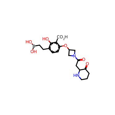 O=C(O)c1c(OC2CN(C(=O)CC3NCCCC3=O)C2)ccc(CCB(O)O)c1O